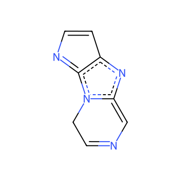 C1=Cc2nc3n(c2=N1)CC=NC=3